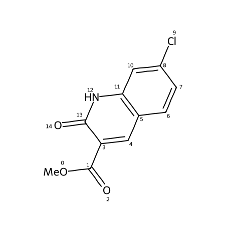 COC(=O)c1cc2ccc(Cl)cc2[nH]c1=O